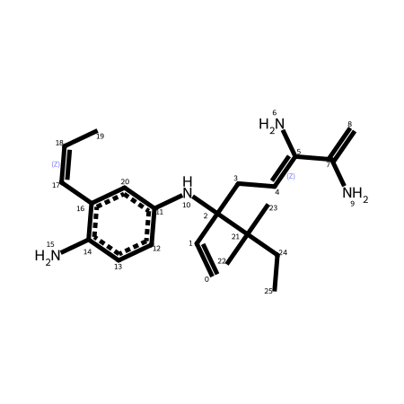 C=CC(C/C=C(\N)C(=C)N)(Nc1ccc(N)c(/C=C\C)c1)C(C)(C)CC